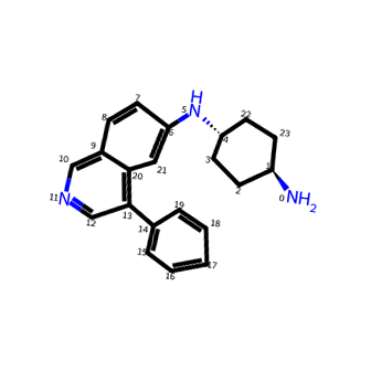 N[C@H]1CC[C@H](Nc2ccc3cncc(-c4ccccc4)c3c2)CC1